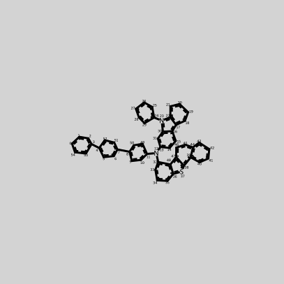 c1ccc(-c2ccc(-c3ccc(N(c4ccc5c6ccccc6n(-c6ccccc6)c5c4)c4cccc5sc6c7ccccc7ccc6c45)cc3)cc2)cc1